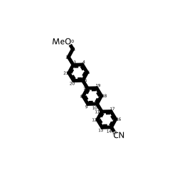 COCCc1ccc(-c2ccc(-c3ccc(C#N)cc3)cc2)cc1